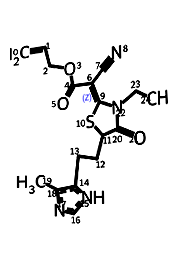 C=CCOC(=O)/C(C#N)=C1\SC(CCc2[nH]cnc2C)C(=O)N1CC